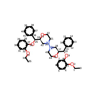 CCOc1ccccc1O[C@@H](c1ccccc1)[C@@H]1CN(N2CCO[C@H]([C@@H](Oc3ccccc3OCC)c3ccccc3)C2)CCO1